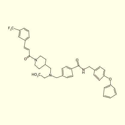 O=C(O)CN(Cc1ccc(C(=O)NCc2ccc(Oc3ccccc3)cc2)cc1)CC1CCN(C(=O)/C=C/c2cccc(C(F)(F)F)c2)CC1